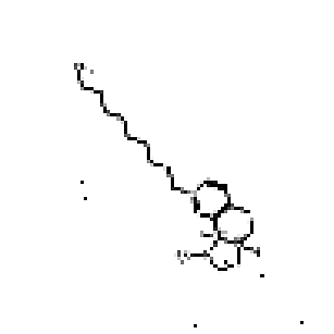 CCCCCCCCCC[n+]1ccc2c(c1)[C@@H]1[C@H](CC2)CCN1C.[I-]